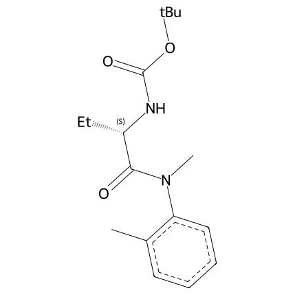 CC[C@H](NC(=O)OC(C)(C)C)C(=O)N(C)c1ccccc1C